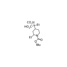 CCC1CC(C(CC)(C(=O)O)C(=O)O)CCN1C(=O)OC(C)(C)C